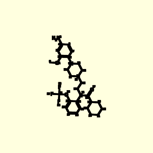 COc1cc(N)ccc1N1CCN(CCN(C(=O)C2CCCCC2)c2ccccc2OC(F)(F)F)CC1